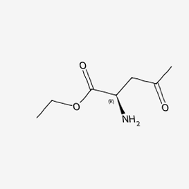 CCOC(=O)[C@H](N)CC(C)=O